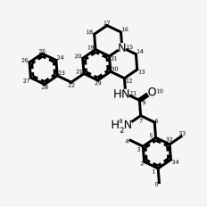 Cc1cc(C)c(CC(N)C(=O)NC2CCN3CCCc4cc(Cc5ccccc5)cc2c43)c(C)c1